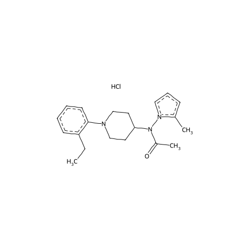 CCc1ccccc1N1CCC(N(C(C)=O)n2cccc2C)CC1.Cl